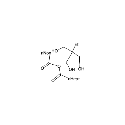 CCC(CO)(CO)CO.CCCCCCCCCC(=O)OC(=O)CCCCCCC